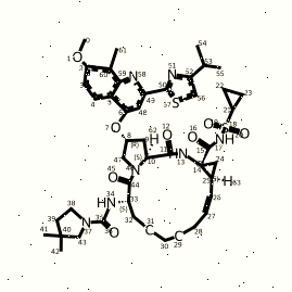 COc1ccc2c(O[C@@H]3C[C@H]4C(=O)N[C@]5(C(=O)NS(=O)(=O)C6CC6)C[C@H]5C=CCCCCC[C@H](NC(=O)N5CCC(C)(C)C5)C(=O)N4C3)cc(-c3nc(C(C)C)cs3)nc2c1C